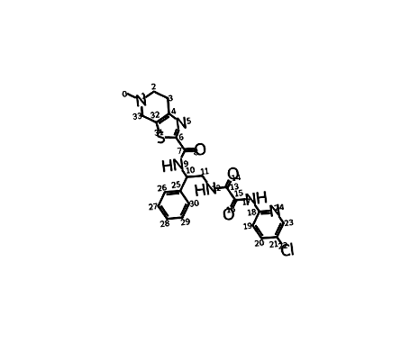 CN1CCc2nc(C(=O)NC(CNC(=O)C(=O)Nc3ccc(Cl)cn3)c3ccccc3)sc2C1